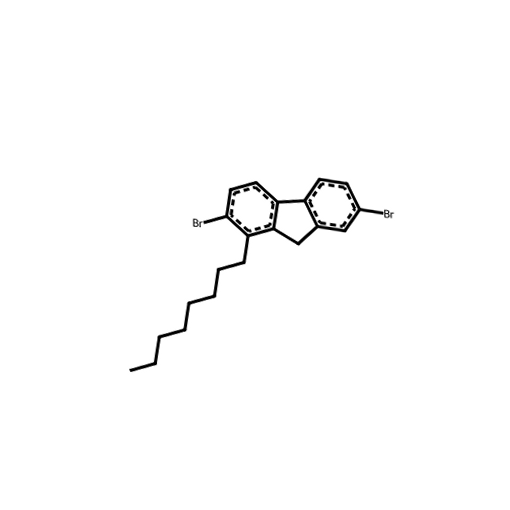 CCCCCCCCc1c(Br)ccc2c1Cc1cc(Br)ccc1-2